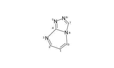 [c]1ccnc2nncn12